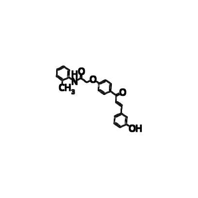 Cc1ccccc1NC(=O)COc1ccc(C(=O)/C=C/c2cccc(O)c2)cc1